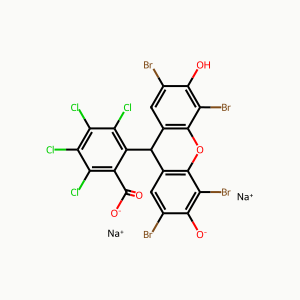 O=C([O-])c1c(Cl)c(Cl)c(Cl)c(Cl)c1C1c2cc(Br)c([O-])c(Br)c2Oc2c1cc(Br)c(O)c2Br.[Na+].[Na+]